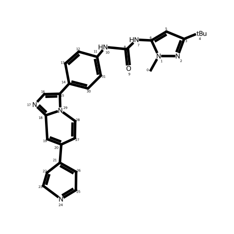 Cn1nc(C(C)(C)C)cc1NC(=O)Nc1ccc(-c2cnc3cc(-c4ccncc4)ccn23)cc1